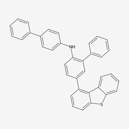 c1ccc(-c2ccc(Nc3ccc(-c4cccc5sc6ccccc6c45)cc3-c3ccccc3)cc2)cc1